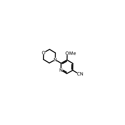 COc1cc(C#N)cnc1N1CCOCC1